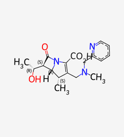 C[C@@H](O)[C@H]1C(=O)N2C(C(=O)O)=C(CN(C)Cc3ccccn3)[C@H](C)[C@H]12